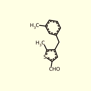 Cc1cccc(Cc2cc(C=O)sc2C)c1